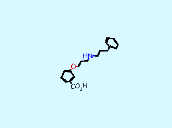 O=C(O)c1cccc(OCCCNCCCc2ccccc2)c1